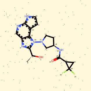 C[C@@H](O)c1nc2cnc3[nH]ccc3c2n1N1CC[C@@H](NC(=O)C2CC2(F)F)C1